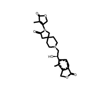 CC1=C(N2CC3(CCN(C[C@H](O)c4ccc5c(c4C)COC5=O)CC3)CC2=O)COC1=O